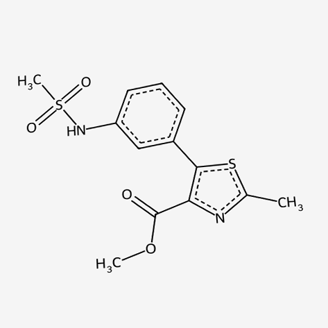 COC(=O)c1nc(C)sc1-c1cccc(NS(C)(=O)=O)c1